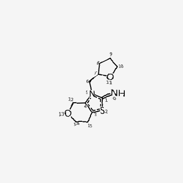 N=c1sc2c(n1C[C@H]1CCCO1)COCC2